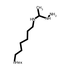 CCCCCCCCCCCCNC(C)NN